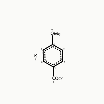 COc1ccc(C(=O)[O-])cc1.[K+]